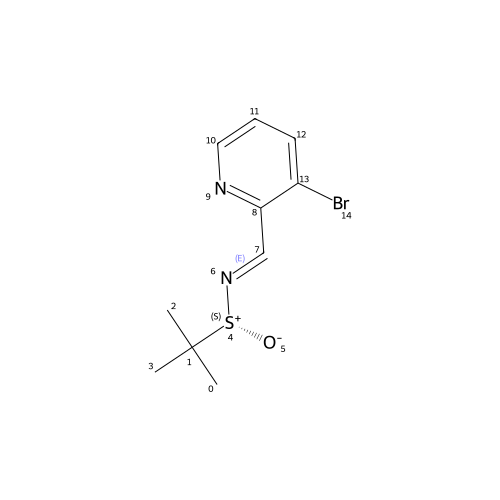 CC(C)(C)[S@@+]([O-])/N=C/c1ncccc1Br